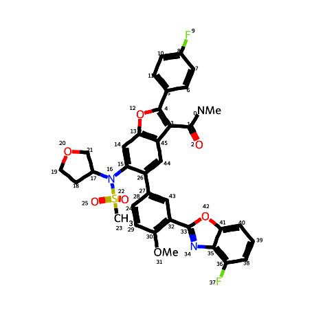 CNC(=O)c1c(-c2ccc(F)cc2)oc2cc(N(C3CCOC3)S(C)(=O)=O)c(-c3ccc(OC)c(-c4nc5c(F)cccc5o4)c3)cc12